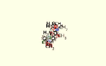 C=CCN(C(=O)OC(C)(C)C)c1cc(OC)c(-c2ccc(C[C@H](NC(=O)c3c(Cl)cccc3Cl)C(=O)OC)cc2)c(OC)c1